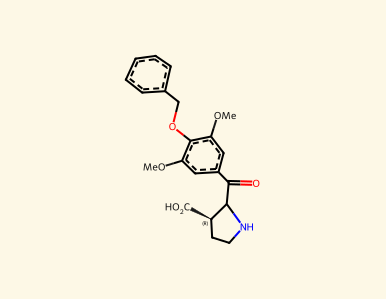 COc1cc(C(=O)C2NCC[C@H]2C(=O)O)cc(OC)c1OCc1ccccc1